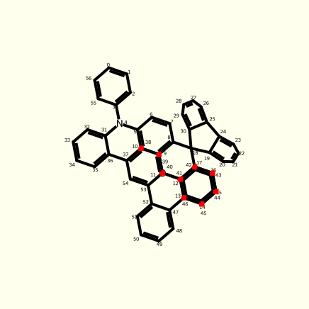 c1ccc(N(c2ccc3c(c2)Oc2ccccc2C32c3ccccc3-c3ccccc32)c2ccccc2-c2ccc3c4ccccc4c4ccccc4c3c2)cc1